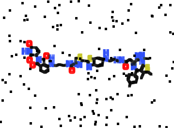 Cc1ccc(C2=N[C@@H](CC(=O)NCCCNc3ccc4nc(C5=NC(C(=O)NCCCNc6cccc7c6C(=O)N(C6CCC(=O)NC6=O)C7=O)CS5)sc4c3)c3nnc(C)n3-c3sc(C)c(C)c32)cc1